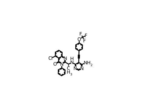 C[C@H](Nc1ncnc(N)c1C#Cc1ccc(OC(F)(F)F)cc1)c1nc2cccc(Cl)c2c(=O)n1-c1ccccc1